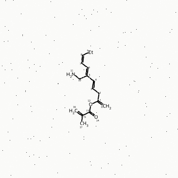 C=C(C/C=C/C(=C/C=C\CC)CN)OC(=O)C(=C)C